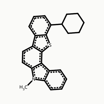 Cn1c2ccccc2c2c3sc4c(C5CCCCC5)cccc4c3ccc21